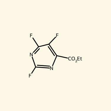 CCOC(=O)c1nc(F)nc(F)c1F